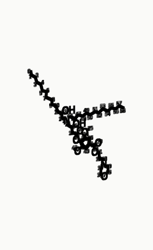 CCCCCCCCCCCCC(O)CN(CCCC(=O)Oc1c(OC)cc(C(=O)OCCCN2CCOCC2)cc1OC)CC(O)CCCCCCCCCCCC